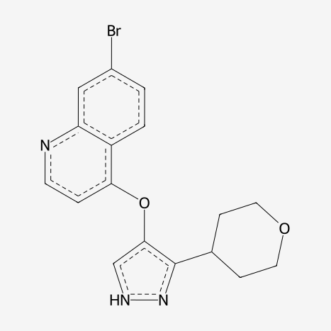 Brc1ccc2c(Oc3c[nH]nc3C3CCOCC3)ccnc2c1